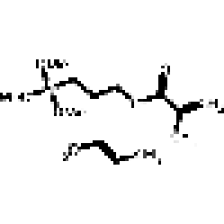 C=C(C)C(=O)OCCC[Si](OC)(OC)OC.CC=CC